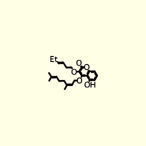 CCC=CCCOc1c(OCC=C(C)CCC=C(C)C)c2c(O)cccc2oc1=O